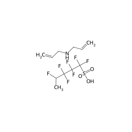 C=CCNCC=C.CC(F)C(F)(F)C(F)(F)C(F)(F)S(=O)(=O)O